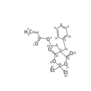 C=CC(=O)OCCC1(Cc2ccccc2)C(=O)OC(CC)(CC)OC1=O